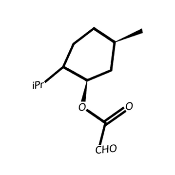 CC(C)C1CC[C@@H](C)C[C@H]1OC(=O)C=O